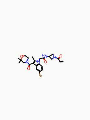 C=CC(=O)N1CC(NC(=O)Cn2c(C)c(C(=O)N3CCOC(C)(C)C3)c3cc(Br)ccc32)C1